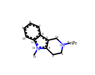 CCCN1CCc2c(c3ccccc3n2C)C1